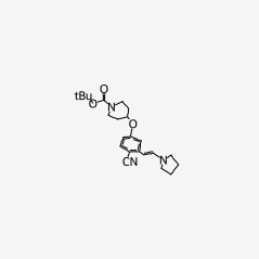 CC(C)(C)OC(=O)N1CCC(Oc2ccc(C#N)c(C=CN3CCCC3)c2)CC1